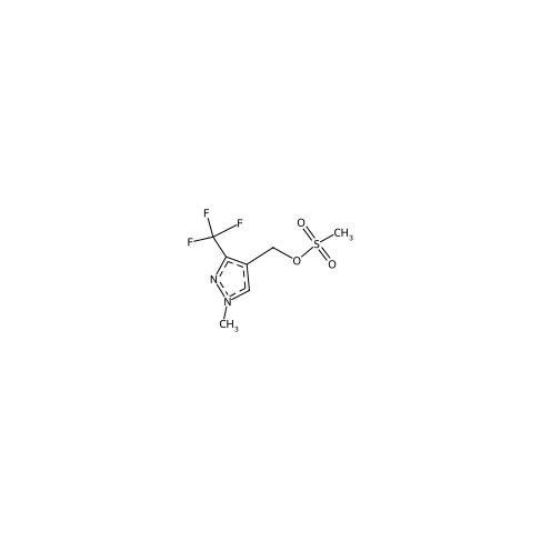 Cn1cc(COS(C)(=O)=O)c(C(F)(F)F)n1